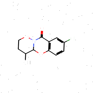 CC1CCON2C(=O)c3cc(Cl)ccc3OC12